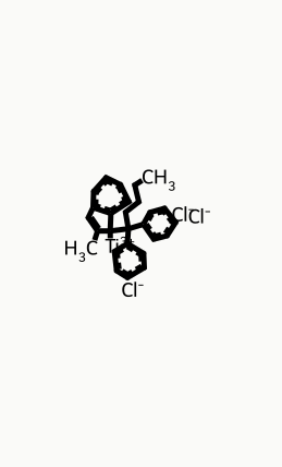 CCCCC(c1ccccc1)(c1ccccc1)[C]1([Ti+3])C(C)=Cc2ccccc21.[Cl-].[Cl-].[Cl-]